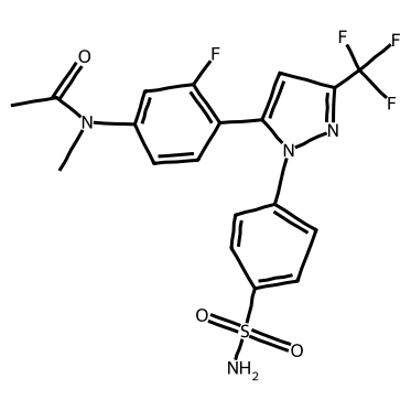 CC(=O)N(C)c1ccc(-c2cc(C(F)(F)F)nn2-c2ccc(S(N)(=O)=O)cc2)c(F)c1